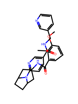 COc1cccc(C(=O)NC2CC3CCC(C2)N3c2ccc(C(=O)NCc3cccnc3)cn2)c1C